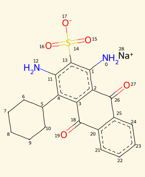 Nc1c2c(c(C3CCCCC3)c(N)c1S(=O)(=O)[O-])C(=O)c1ccccc1C2=O.[Na+]